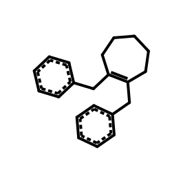 c1ccc(CC2=C(Cc3ccccc3)CCCCC2)cc1